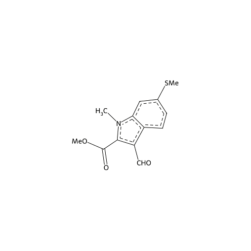 COC(=O)c1c(C=O)c2ccc(SC)cc2n1C